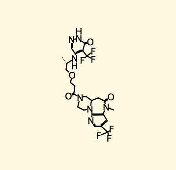 C[C@@H](COCCC(=O)N1CCN2c3ncc(C(F)(F)F)cc3N(C)C(=O)CC2C1)Nc1cn[nH]c(=O)c1C(F)(F)F